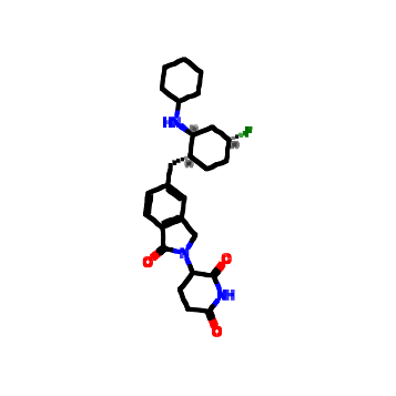 O=C1CCC(N2Cc3cc(C[C@H]4CC[C@@H](F)C[C@@H]4NC4CCCCC4)ccc3C2=O)C(=O)N1